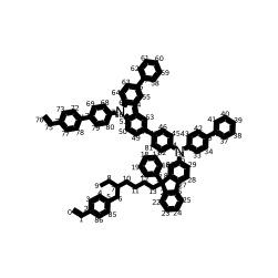 C=Cc1ccc(CC(CC)CCCCC2(c3ccccc3)c3ccccc3-c3ccc(N(c4ccc(-c5ccccc5)cc4)c4ccc(-c5ccc6c(c5)c5cc(-c7ccccc7)ccc5n6-c5ccc(-c6ccc(C=C)cc6)cc5)cc4)cc32)cc1